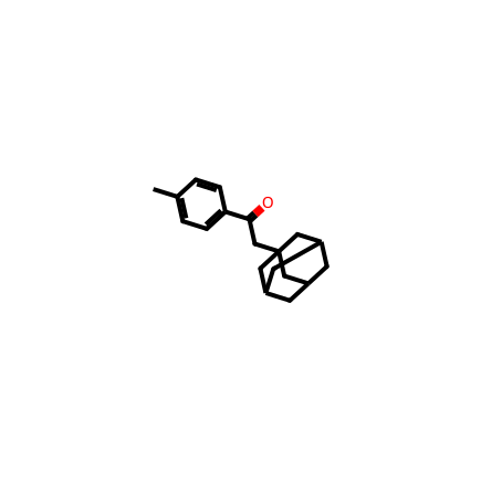 Cc1ccc(C(=O)CC23CC4CC(CC(C4)C2)C3)cc1